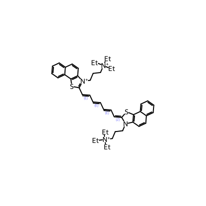 CC[N+](CC)(CC)CCCN1/C(=C/C=C/C=C/C=C/c2sc3c4ccccc4ccc3[n+]2CCC[N+](CC)(CC)CC)Sc2c1ccc1ccccc21